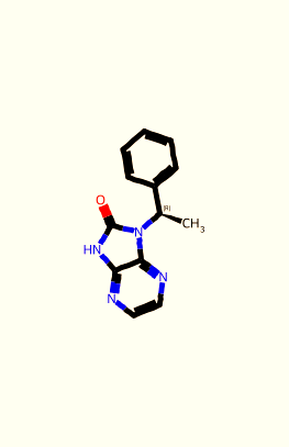 C[C@H](c1ccccc1)n1c(=O)[nH]c2nccnc21